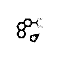 CC(=O)OC(OC(C)=O)c1ccc2ccc3ccccc3c2c1.c1cc2cc-2c1